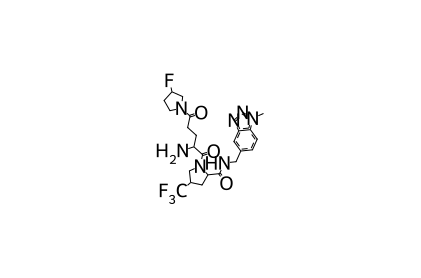 Cn1nnc2cc(CNC(=O)C3CC(C(F)(F)F)CN3C(=O)C(N)CCC(=O)N3CCC(F)C3)ccc21